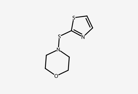 c1csc(SN2CCOCC2)n1